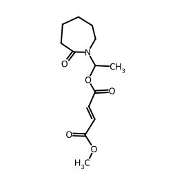 COC(=O)C=CC(=O)OC(C)N1CCCCCC1=O